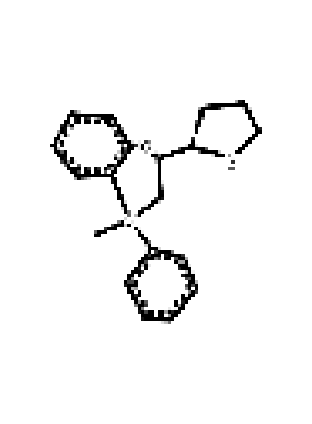 C[Si](C[C@H](O)[C@H]1CCCN1)(c1ccccc1)c1ccccc1